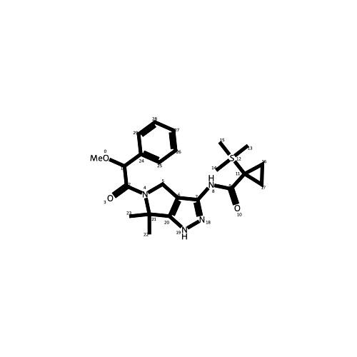 COC(C(=O)N1Cc2c(NC(=O)C3(S(C)(C)C)CC3)n[nH]c2C1(C)C)c1ccccc1